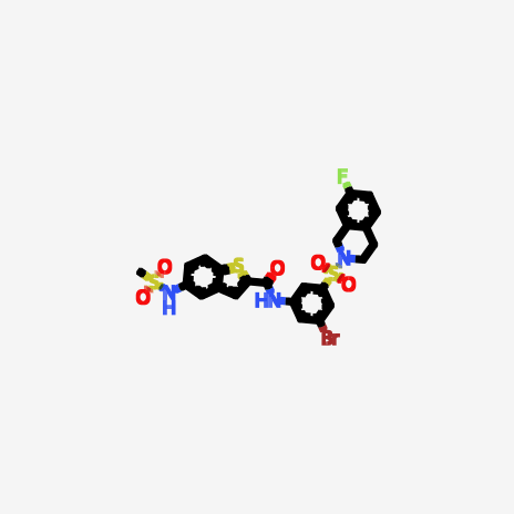 CS(=O)(=O)Nc1ccc2sc(C(=O)Nc3cc(Br)cc(S(=O)(=O)N4CCc5ccc(F)cc5C4)c3)cc2c1